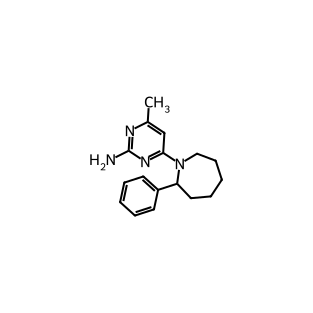 Cc1cc(N2CCCCCC2c2ccccc2)nc(N)n1